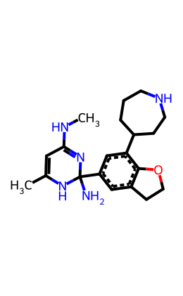 CNC1=NC(N)(c2cc3c(c(C4CCCNCC4)c2)OCC3)NC(C)=C1